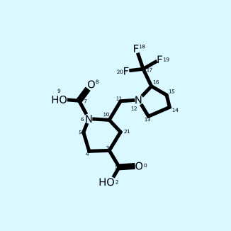 O=C(O)C1CCN(C(=O)O)C(CN2CCCC2C(F)(F)F)C1